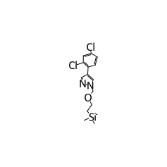 C[Si](C)(C)CCOCn1cc(-c2ccc(Cl)cc2Cl)cn1